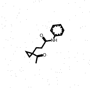 CC(=O)C1(CCC(=O)Nc2ccccc2)CC1